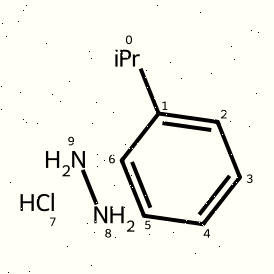 CC(C)c1ccccc1.Cl.NN